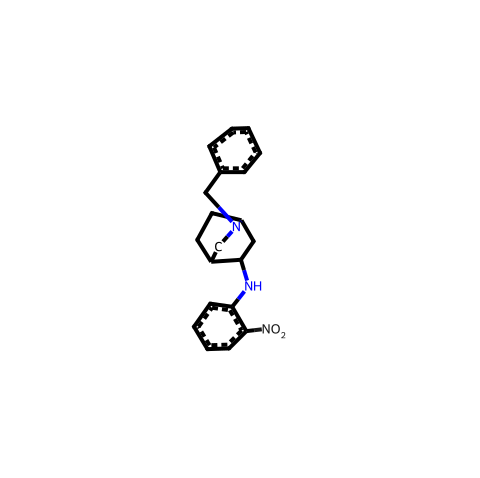 O=[N+]([O-])c1ccccc1NC1CC2CCC1CN2Cc1ccccc1